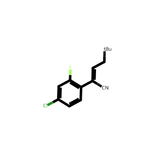 CC(C)(C)CC=C(C#N)c1ccc(Cl)cc1F